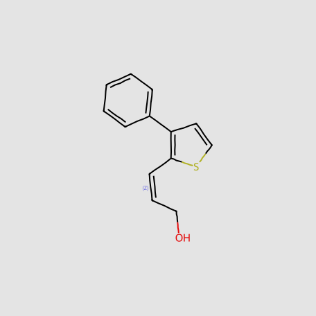 OC/C=C\c1sccc1-c1ccccc1